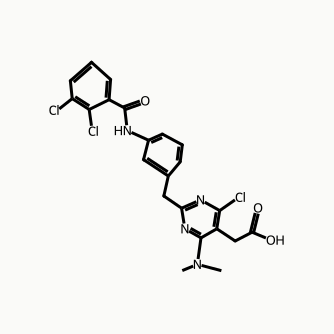 CN(C)c1nc(Cc2cccc(NC(=O)c3cccc(Cl)c3Cl)c2)nc(Cl)c1CC(=O)O